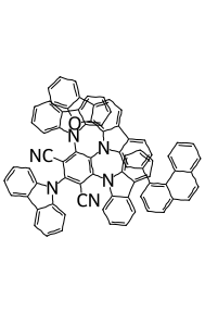 N#Cc1c(-n2c3ccccc3c3ccccc32)c(C#N)c(-n2c3ccccc3c3ccccc32)c(-n2c3cc(-c4cccc5ccc6ccccc6c45)ccc3c3ccc4c5ccccc5oc4c32)c1-n1c2ccccc2c2ccccc21